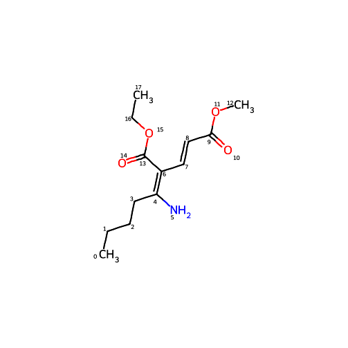 CCCCC(N)=C(C=CC(=O)OC)C(=O)OCC